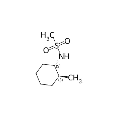 C[C@H]1CCCC[C@@H]1NS(C)(=O)=O